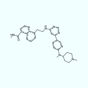 CNC(=O)c1ccnc2c(CCNc3cc(-c4ccc(N(C)C5CCN(C)CC5)nc4)ncn3)cccc12